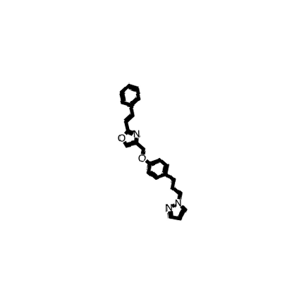 C(=Cc1nc(COc2ccc(CCCn3cccn3)cc2)co1)c1ccccc1